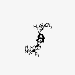 CN(C)COc1ccc2c(c1)CN(C(=O)OC(C)(C)C)C2